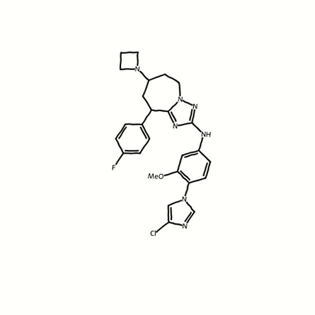 COc1cc(Nc2nc3n(n2)CCC(N2CCC2)CC3c2ccc(F)cc2)ccc1-n1cnc(Cl)c1